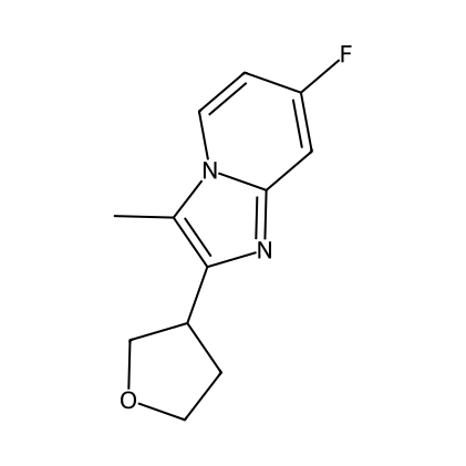 Cc1c(C2CCOC2)nc2cc(F)ccn12